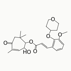 COc1cccc(C=CC(=O)OC2C(O)C=C(C)C(=O)CC2(C)C)c1OC1CCOCC1